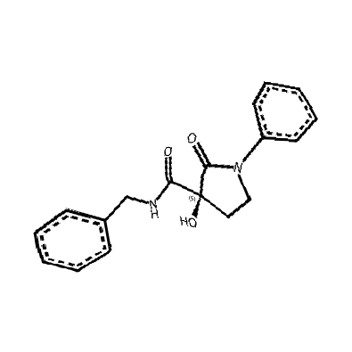 O=C(NCc1ccccc1)[C@@]1(O)CCN(c2ccccc2)C1=O